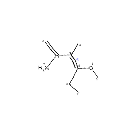 C=C(N)/C(C)=C(\CC)OC